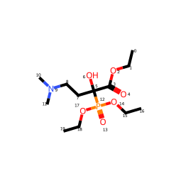 CCOC(=O)C(O)(CCN(C)C)P(=O)(OCC)OCC